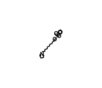 c1ccc2c(c1)OC[C@@H](COCCCCCCCCCCN1CCCCC1)O2